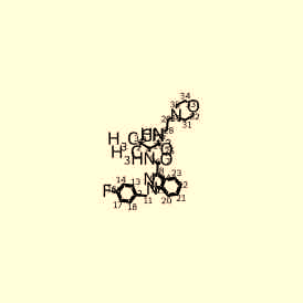 CC(C)(C)C(NC(=O)c1nn(Cc2ccc(F)cc2)c2ccccc12)C(=O)NCCN1CCOCC1